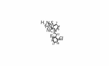 N#CC1(NC(N)=S)C=CC=CN1CCc1c(F)cccc1Cl